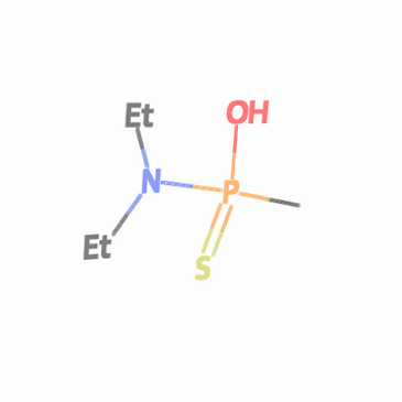 CCN(CC)P(C)(O)=S